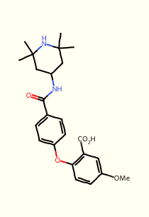 COc1ccc(Oc2ccc(C(=O)NC3CC(C)(C)NC(C)(C)C3)cc2)c(C(=O)O)c1